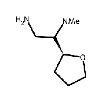 CNC(CN)[C@@H]1CCCO1